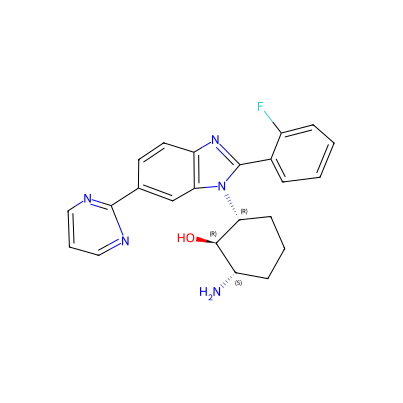 N[C@H]1CCC[C@@H](n2c(-c3ccccc3F)nc3ccc(-c4ncccn4)cc32)[C@@H]1O